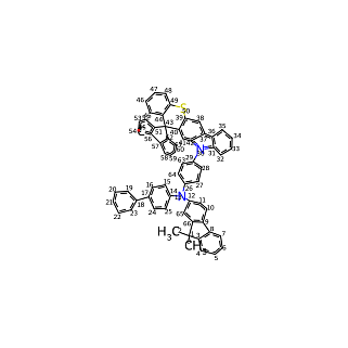 CC1(C)c2ccccc2-c2ccc(N(c3ccc(-c4ccccc4)cc3)c3ccc(-n4c5ccccc5c5cc6c(cc54)C4(c5ccccc5S6)c5ccccc5-c5ccccc54)cc3)cc21